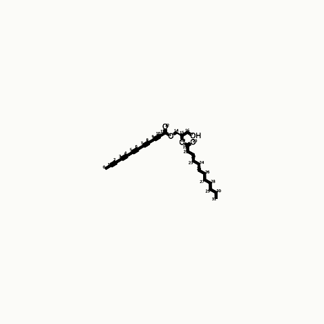 CC#CC#CC#CC#CC#CC(=O)OC[C@@H](CO)OC(=O)CCCCCCCCCCC